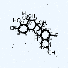 Cc1ncc2c(NC3c4ccc(Cl)c(O)c4C(C)(C)CC3(O)C(F)(F)F)ccc(F)c2n1